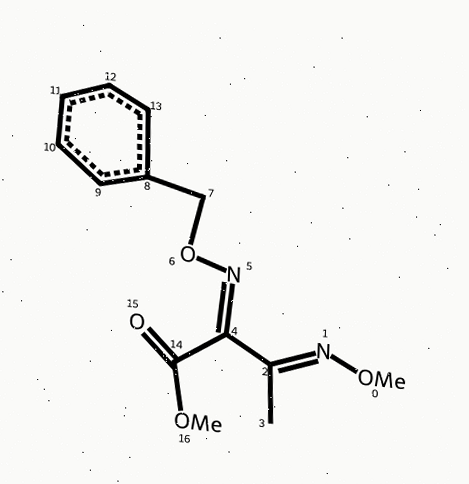 CON=C(C)C(=NOCc1ccccc1)C(=O)OC